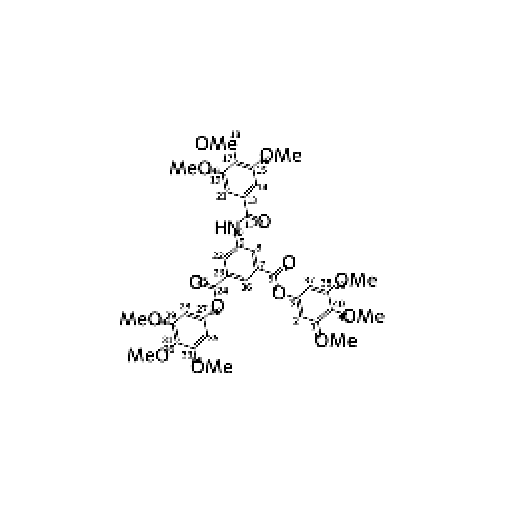 COc1cc(OC(=O)c2cc(NC(=O)c3cc(OC)c(OC)c(OC)c3)cc(C(=O)Oc3cc(OC)c(OC)c(OC)c3)c2)cc(OC)c1OC